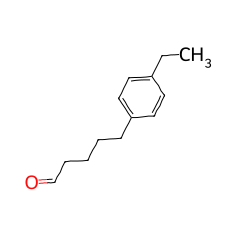 CCc1ccc(CCCCC=O)cc1